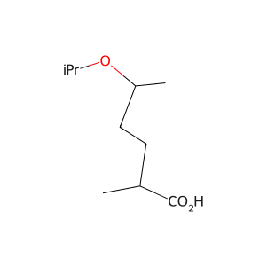 CC(C)OC(C)CCC(C)C(=O)O